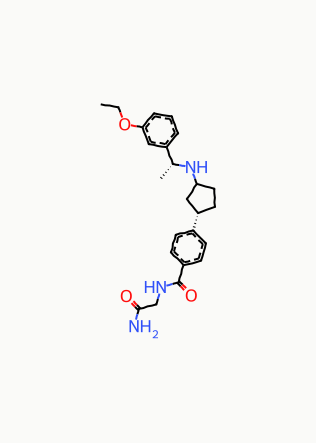 CCOc1cccc([C@@H](C)NC2CC[C@H](c3ccc(C(=O)NCC(N)=O)cc3)C2)c1